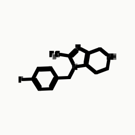 Fc1ccc(Cn2c(C(F)(F)F)nc3c2CCNC3)cc1